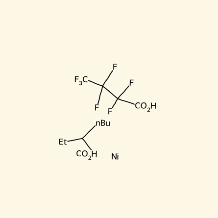 CCCCC(CC)C(=O)O.O=C(O)C(F)(F)C(F)(F)C(F)(F)F.[Ni]